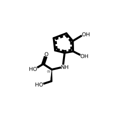 O=C(O)[C@H](CO)Nc1cccc(O)c1O